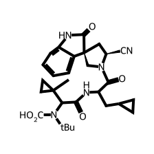 CC1(C(C(=O)NC(CC2CC2)C(=O)N2C[C@]3(C[C@H]2C#N)C(=O)Nc2ccccc23)N(C(=O)O)C(C)(C)C)CC1